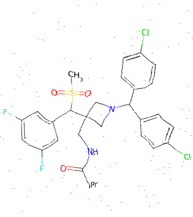 CC(C)C(=O)NCC1(C(c2cc(F)cc(F)c2)S(C)(=O)=O)CN(C(c2ccc(Cl)cc2)c2ccc(Cl)cc2)C1